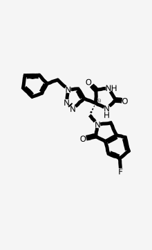 O=C1NC(=O)[C@](CN2Cc3ccc(F)cc3C2=O)(c2cn(Cc3ccccc3)nn2)N1